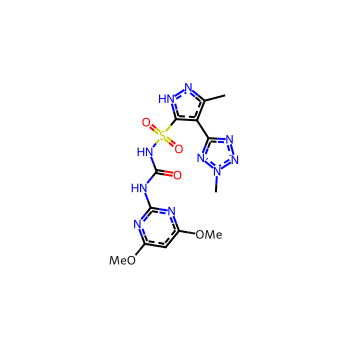 COc1cc(OC)nc(NC(=O)NS(=O)(=O)c2[nH]nc(C)c2-c2nnn(C)n2)n1